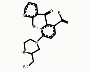 C=C(F)c1ccc(N2CCNC(CC(F)(F)F)C2)nc1C(=O)c1cccnc1N